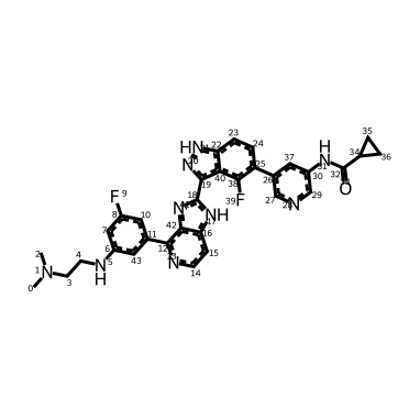 CN(C)CCNc1cc(F)cc(-c2nccc3[nH]c(-c4n[nH]c5ccc(-c6cncc(NC(=O)C7CC7)c6)c(F)c45)nc23)c1